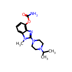 CC(C)N1CCN(c2nc3c(OC(N)=O)cccc3n2C)CC1